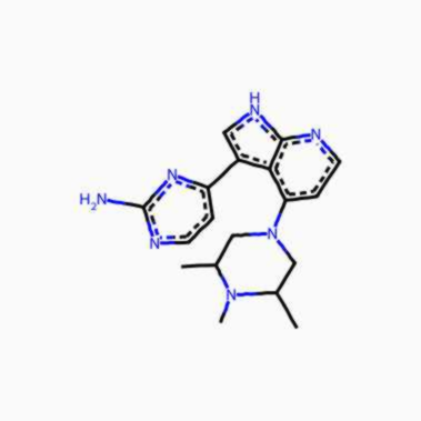 CC1CN(c2ccnc3[nH]cc(-c4ccnc(N)n4)c23)CC(C)N1C